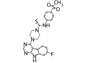 CS(=O)(=O)c1ccc(NC(=S)N2CCN(c3ncnc4[nH]c5cc(F)ccc5c34)CC2)cc1